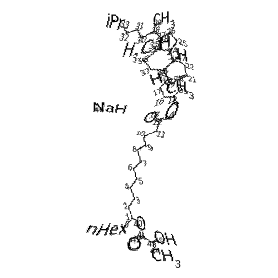 CCCCCCC(CCCCCCCCCCC(=O)O[C@H]1CC[C@@]2(C)C(=CC[C@H]3[C@@H]4CC[C@H]([C@H](C)CCCC(C)C)[C@@]4(C)CC[C@@H]32)C1)OC(=O)C(C)O.[NaH]